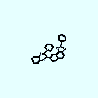 c1ccc(-c2nc3ccccc3nc2-c2ccc3ccc4c(c3c2)NC(c2ccccc2)O4)cc1